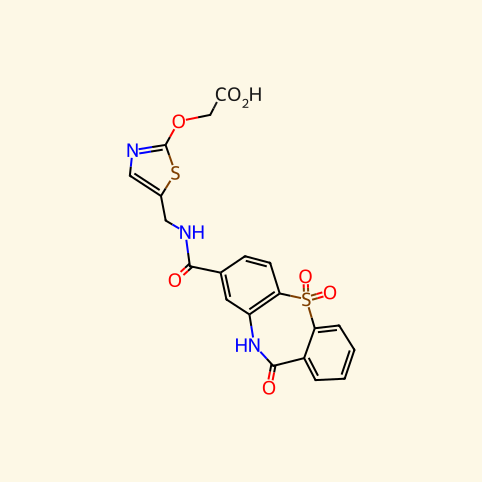 O=C(O)COc1ncc(CNC(=O)c2ccc3c(c2)NC(=O)c2ccccc2S3(=O)=O)s1